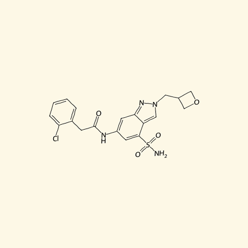 NS(=O)(=O)c1cc(NC(=O)Cc2ccccc2Cl)cc2nn(CC3COC3)cc12